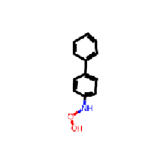 OONc1ccc(-c2ccccc2)cc1